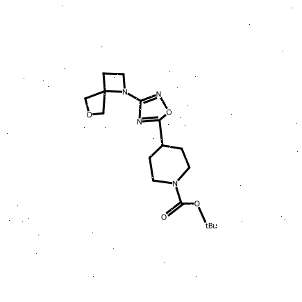 CC(C)(C)OC(=O)N1CCC(c2nc(N3CCC34COC4)no2)CC1